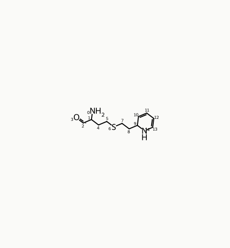 NC([C]=O)CCSCCC1C=CC=CN1